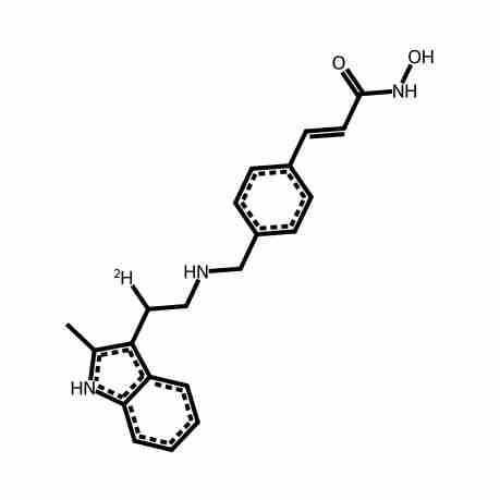 [2H]C(CNCc1ccc(C=CC(=O)NO)cc1)c1c(C)[nH]c2ccccc12